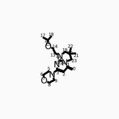 C=C1C=C(N2CCOCC2)N=C2N(CCOC(C)C)CC(C)(C)CN12